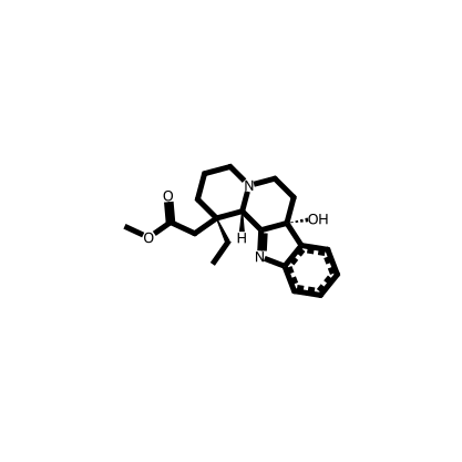 CC[C@@]1(CC(=O)OC)CCCN2CC[C@]3(O)C(=Nc4ccccc43)[C@@H]21